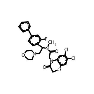 CN(C(=O)CN1C(=O)COc2cc(Cl)c(Cl)cc21)C(CN1CCOCC1)c1ccc(-c2ccccc2)cc1F